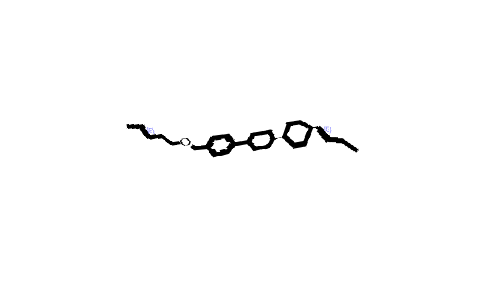 C/C=C/CCOCc1ccc(C2CCC([C@H]3CC[C@H](/C=C/CC)CC3)CC2)cc1